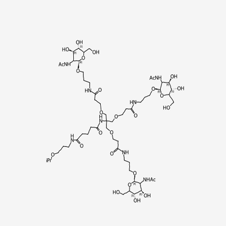 CC(=O)NC1[C@H](OCCCNC(=O)CCOCC(COCCC(=O)NCCCO[C@@H]2OC(CO)[C@@H](O)[C@H](O)C2NC(C)=O)(COCCC(=O)NCCCO[C@@H]2OC(CO)[C@@H](O)[C@H](O)C2NC(C)=O)NC(=O)CCCC(=O)NCCCOC(C)C)OC(CO)[C@@H](O)[C@@H]1O